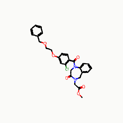 COC(=O)CN1Cc2ccccc2N(C(=O)c2ccc(OCCOCc3ccccc3)cc2Cl)CC1=O